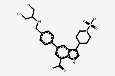 CCS(=O)(=O)N1CCC(c2c[nH]c3c(C(N)=O)cc(-c4ccc(CNC(CO)CO)cc4)cc23)CC1